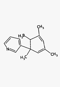 BC1C(C)=CC(C)=CC1(C)c1cccnc1